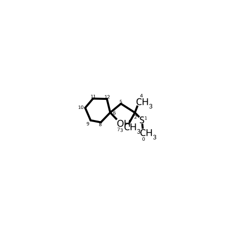 CSC(C)(C)CC1(O)CCCCC1